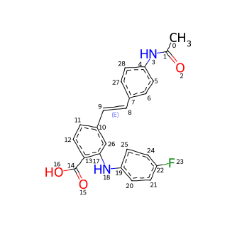 CC(=O)Nc1ccc(/C=C/c2ccc(C(=O)O)c(Nc3ccc(F)cc3)c2)cc1